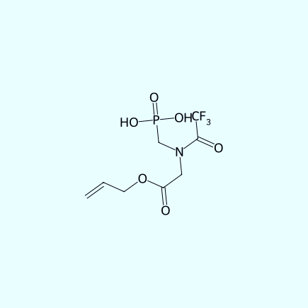 C=CCOC(=O)CN(CP(=O)(O)O)C(=O)C(F)(F)F